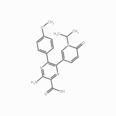 COc1ccc(-c2nc(N)c(C(=O)O)nc2-c2ccc(=O)n(C(C)C)c2)cc1